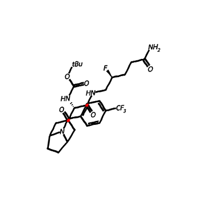 CC(C)(C)OC(=O)N[C@H](C(=O)NC[C@@H](F)CCC(N)=O)C1CC2CCC(C1)N2C(=O)c1ccc(C(F)(F)F)cc1